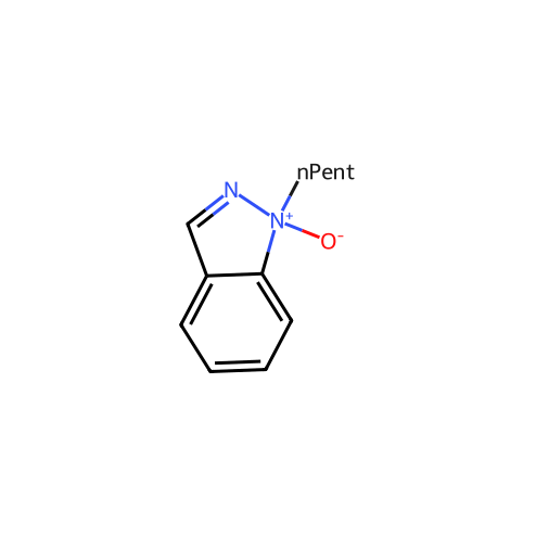 CCCCC[N+]1([O-])N=Cc2ccccc21